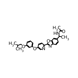 CC(=O)NC(C)c1ccc2nc(-c3ccc(Oc4cccc(OCC(C)C)c4)cn3)oc2c1